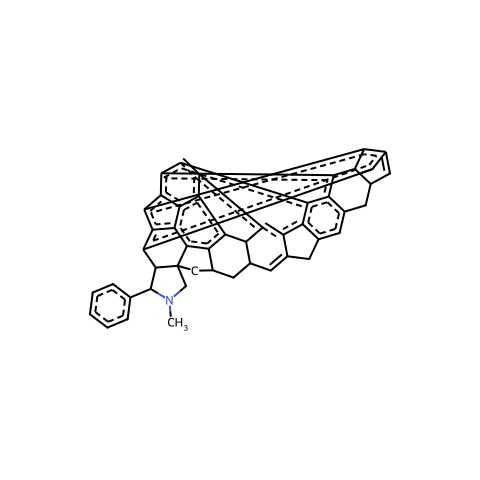 CN1CC23CC4CC5C=C6Cc7cc8c9c%10c%11c%12c%13c(c6c7c9%12)C5c5c4c2c2c4c(cc6c(c4c%11c2c5%13)C%10C(C=6)C8)C3C1c1ccccc1